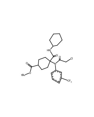 CC(C)(C)OC(=O)C1CCC(C(=O)NC2CCCCC2)(N(C(=O)CCl)c2cccc(C(F)(F)F)c2)CC1